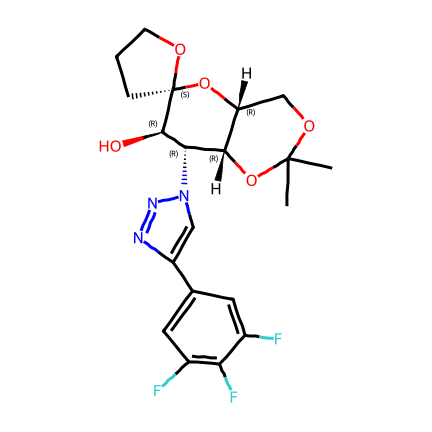 CC1(C)OC[C@H]2O[C@@]3(CCCO3)[C@H](O)[C@@H](n3cc(-c4cc(F)c(F)c(F)c4)nn3)[C@H]2O1